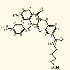 COCCCNC(=O)c1ccc(Cn2c(=O)c3ccc(Cl)cc3n(Cc3ccc(C)cc3)c2=O)cc1